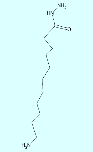 NCCCCCCCCCCC(=O)NN